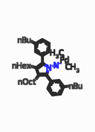 CCCCCCCCC1=C(c2cccc(CCCC)c2)[N+](=[N-])C(c2cccc(CCCC)c2)=C1CCCCCC.[CH3][Pd][CH3]